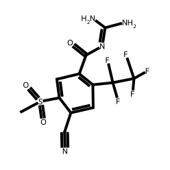 CS(=O)(=O)c1cc(C(=O)N=C(N)N)c(C(F)(F)C(F)(F)F)cc1C#N